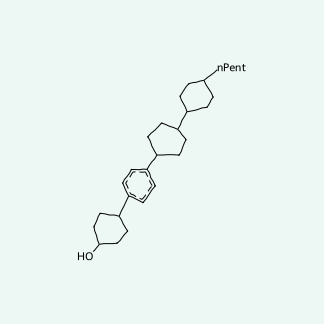 CCCCCC1CCC(C2CCC(c3ccc(C4CCC(O)CC4)cc3)CC2)CC1